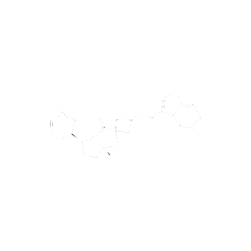 O=C1N2[C@@H](CC[C@H]2c2cnccn2)OC12CC(OCc1csc3ncccc13)C2